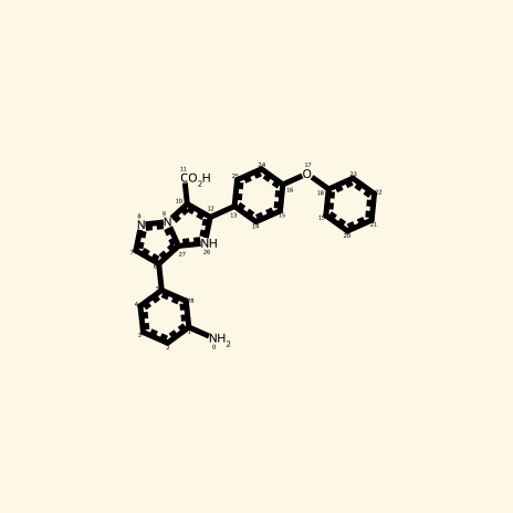 Nc1cccc(-c2cnn3c(C(=O)O)c(-c4ccc(Oc5ccccc5)cc4)[nH]c23)c1